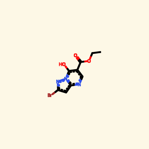 CCOC(=O)c1cnc2cc(Br)nn2c1O